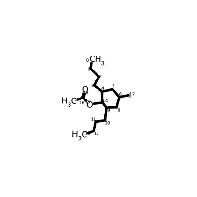 CCCCC1CC(I)CC(CCCC)C1OC(C)=O